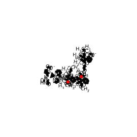 COC(=O)C1=C(C)NC(C)=C(C(=O)OC)C1c1ccccc1[N+](=O)[O-].COC(=O)C1=C(C)NC(C)=C(C(=O)OCC(C)C)C1c1ccccc1[N+](=O)[O-].COCCOC(=O)C1=C(C)NC(C)=C(C(=O)OC(C)C)C1c1cccc([N+](=O)[O-])c1.Cc1ccnc2c1NC(=O)c1cccnc1N2C1CC1.O=C1CN(/N=C/c2ccc([N+](=O)[O-])o2)C(=O)N1